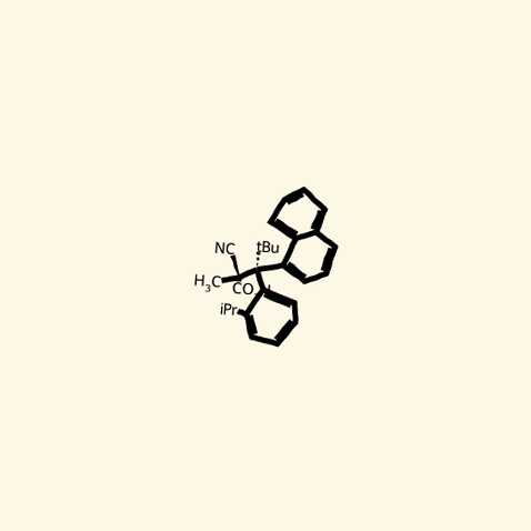 CC(C)c1ccccc1[C@@](c1cccc2ccccc12)(C(C)(C)C)[C@](C)(C#N)C(=O)O